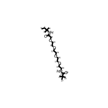 CCC(C)(C)NC(=O)COCCOCCOCCOCCNC(=O)C(C)(C)C